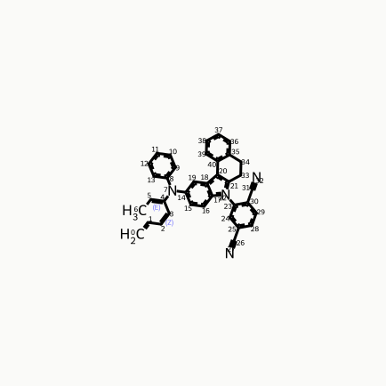 C=C/C=C\C(=C/C)N(c1ccccc1)c1ccc2c(c1)c1c(n2-c2cc(C#N)ccc2C#N)CCc2ccccc2-1